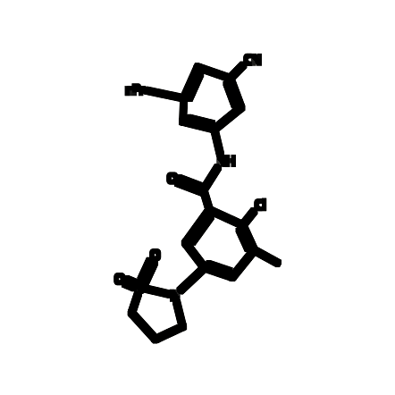 CCCc1cc(C#N)cc(NC(=O)c2cc(N3CCCS3(=O)=O)cc(C)c2Cl)c1